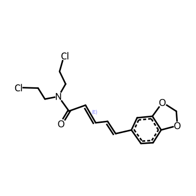 O=C(/C=C/C=Cc1ccc2c(c1)OCO2)N(CCCl)CCCl